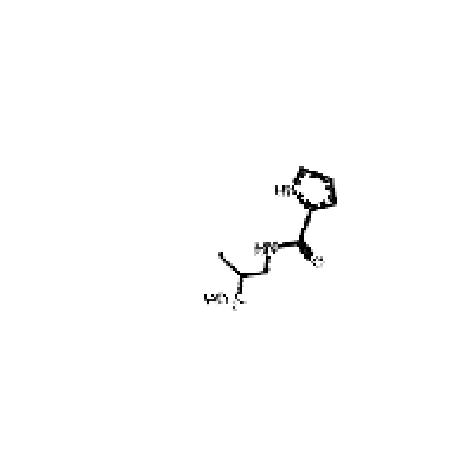 CC(CNC(=O)c1ccc[nH]1)C(=O)O